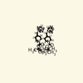 CC(C)(C)OC(=O)N1CCC(Cn2cnnn2)CC1.CC(C)(C)OC(=O)N1CCC(Cn2ncnn2)CC1